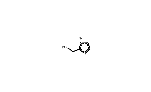 O=C(O)Cc1nccs1.[KH]